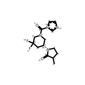 CC1CCN([C@H]2CN(C(=O)n3ccnc3)CC(F)(F)C2)C1=O